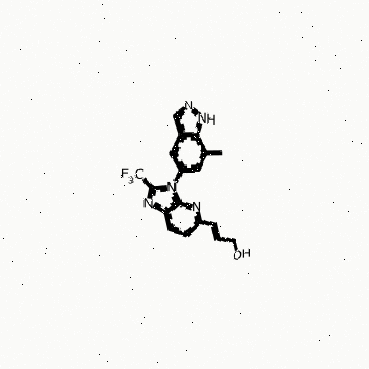 Cc1cc(-n2c(C(F)(F)F)nc3ccc(C=CCO)nc32)cc2cn[nH]c12